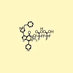 Cn1nc(-c2ccncc2)c2scc(-c3cnn(Cc4ccccc4)c3)c2c1=O.O=C(O)C(F)(F)F.O=C(O)C(F)(F)F